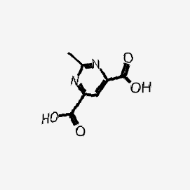 Cc1nc(C(=O)O)cc(C(=O)O)n1